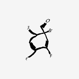 O=CC1(Br)C=C(F)C(F)=CC1F